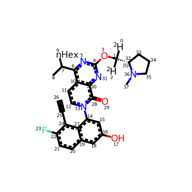 [2H]C([2H])(Oc1nc(C(C)CCCCCC)c2ccn(-c3cc(O)cc4ccc(F)c(C#C)c34)c(=O)c2n1)[C@@H]1CCCN1C